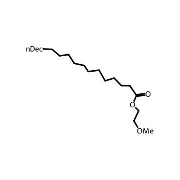 CCCCCCCCCCCCCCCCCCCCCC(=O)OCCOC